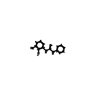 O=C(Nc1ccccc1)Nc1cc[c]c(Cl)c1Cl